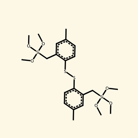 CO[Si](Cc1cc(C)ccc1SSc1ccc(C)cc1C[Si](OC)(OC)OC)(OC)OC